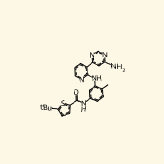 Cc1ccc(NC(=O)c2ccc(C(C)(C)C)s2)cc1Nc1ncccc1-c1cc(N)ncn1